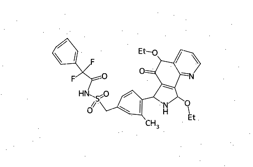 CCOC1NC(c2ccc(CS(=O)(=O)NC(=O)C(F)(F)c3ccccc3)cc2C)C2=C1c1ncccc1C(OCC)C2=O